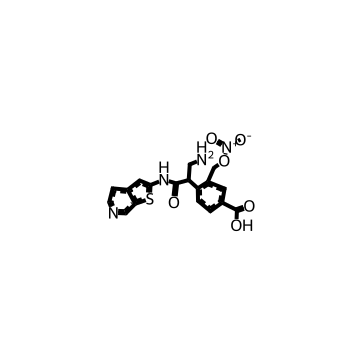 NCC(C(=O)Nc1cc2ccncc2s1)c1ccc(C(=O)O)cc1CO[N+](=O)[O-]